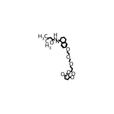 CC(C)CC(=O)NN=C1CCCc2cc(OCCOCCOCCC(=O)ON3C(=O)CCC3=O)ccc21